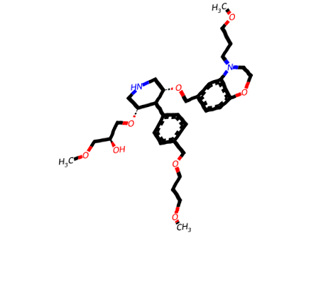 COCCCOCc1ccc(C2[C@@H](OCc3ccc4c(c3)N(CCCOC)CCO4)CNC[C@H]2OC[C@@H](O)COC)cc1